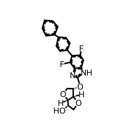 O[C@@H]1CO[C@@H]2[C@H]1OC[C@@H]2Oc1nc2c(F)c(-c3ccc(-c4ccccc4)cc3)c(F)cc2[nH]1